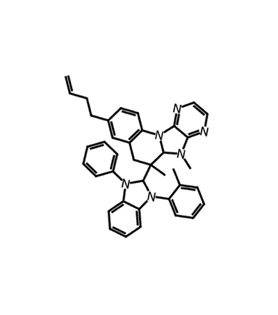 C=CCCc1ccc2c(c1)CC(C)(C1N(c3ccccc3)c3ccccc3N1c1ccccc1C)C1N(C)c3nccnc3N21